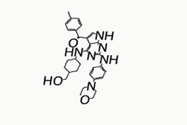 Cc1ccc(C(=O)c2c[nH]c3nc(Nc4ccc(N5CCOCC5)cc4)nc(NC4CCC(CO)CC4)c23)cc1